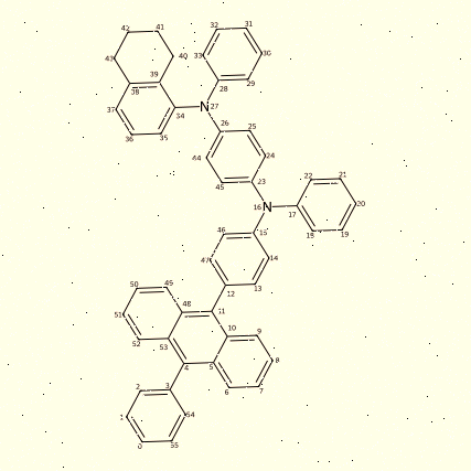 c1ccc(-c2c3ccccc3c(-c3ccc(N(c4ccccc4)c4ccc(N(c5ccccc5)c5cccc6c5CCCC6)cc4)cc3)c3ccccc23)cc1